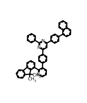 CC1(C)c2ccccc2-c2cccc(-c3ncccc3-c3ccc(-c4cc(-c5ccc(-c6cccc7ccccc67)cc5)nc(-c5ccccc5)n4)cc3)c21